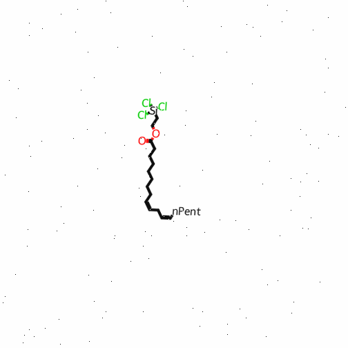 CCCCC/C=C\C/C=C\CCCCCCCC(=O)OCC[Si](Cl)(Cl)Cl